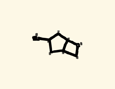 CC(C)(C)C1CC2COC2C1